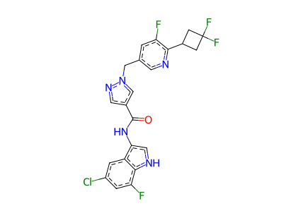 O=C(Nc1c[nH]c2c(F)cc(Cl)cc12)c1cnn(Cc2cnc(C3CC(F)(F)C3)c(F)c2)c1